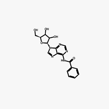 O=C(Nc1ncnc2c1ncn2[C@H]1O[C@@H](CO)C(O)C1O)c1ccccc1